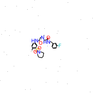 Cc1ccc(NC(=O)CN(C)CC(=O)NCc2cccc(F)c2)cc1S(=O)(=O)N1CCCCCC1